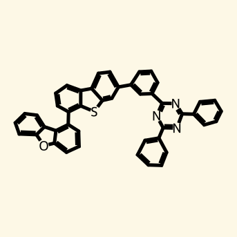 c1ccc(-c2nc(-c3ccccc3)nc(-c3cccc(-c4ccc5c(c4)sc4c(-c6cccc7oc8ccccc8c67)cccc45)c3)n2)cc1